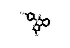 CC(=O)c1cnc2c(c1)c1ccccc1c(=O)n2-c1ccc(C(F)(F)F)cc1